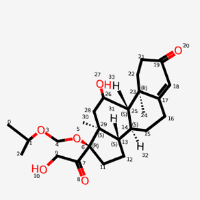 CC(C)OCO[C@]1(C(=O)CO)CC[C@H]2[C@@H]3CCC4=CC(=O)CC[C@]4(C)[C@H]3C(O)C[C@@]21C